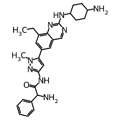 CCc1cc(-c2cc(NC(=O)C(N)c3ccccc3)nn2C)cc2cnc(NC3CCC(N)CC3)nc12